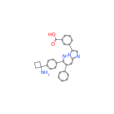 NC1(c2ccc(-c3nn4c(-c5cccc(C(=O)O)c5)cnc4cc3-c3ccccc3)cc2)CCC1